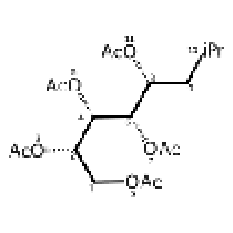 CC(=O)OC[C@H](OC(C)=O)[C@H](OC(C)=O)[C@@H](OC(C)=O)[C@@H](CC(C)C)OC(C)=O